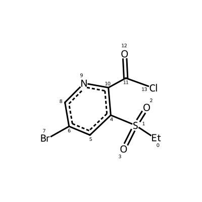 CCS(=O)(=O)c1cc(Br)cnc1C(=O)Cl